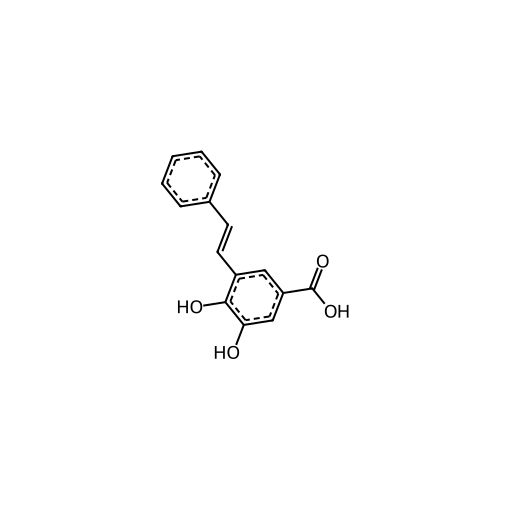 O=C(O)c1cc(O)c(O)c(C=Cc2ccccc2)c1